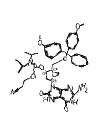 COc1ccc(C(OC[C@H]2O[C@@H](n3c(=O)[nH]c4c(=O)[nH]c(N)nc43)C[C@@H]2OP(OCCC#N)N(C(C)C)C(C)C)(c2ccccc2)c2ccc(OC)cc2)cc1